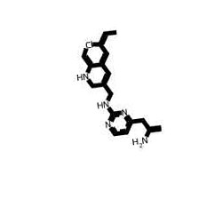 C=C(N)Cc1ccnc(NCC2=CC(=C/C(Cl)=C\C)/C(=C\C)NC2)n1